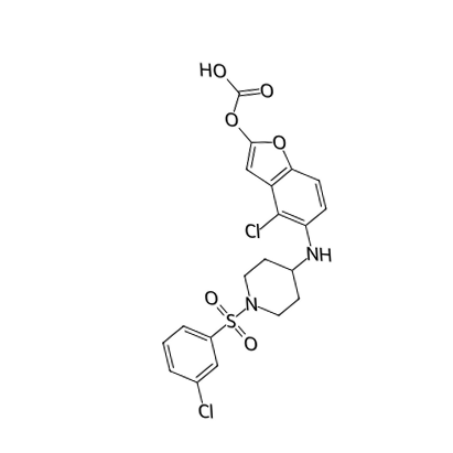 O=C(O)Oc1cc2c(Cl)c(NC3CCN(S(=O)(=O)c4cccc(Cl)c4)CC3)ccc2o1